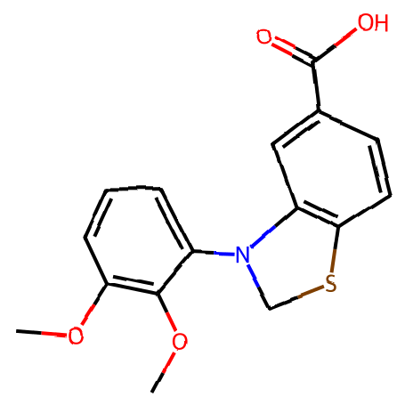 COc1cccc(N2CSc3ccc(C(=O)O)cc32)c1OC